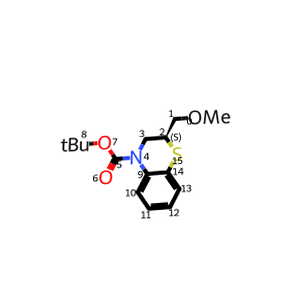 COC[C@@H]1CN(C(=O)OC(C)(C)C)c2ccccc2S1